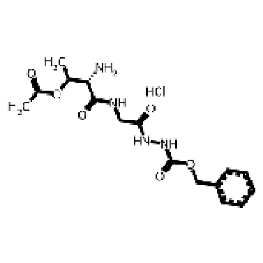 CC(=O)OC(C)[C@H](N)C(=O)NCC(=O)NNC(=O)OCc1ccccc1.Cl